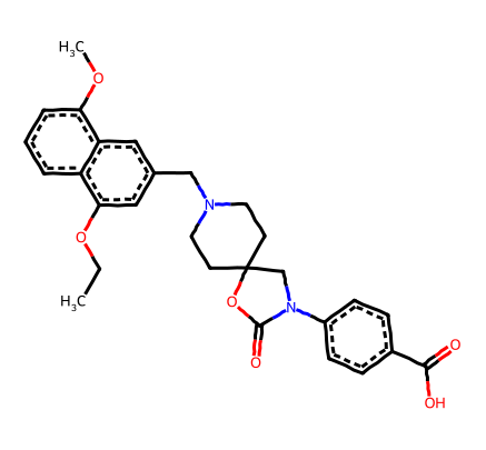 CCOc1cc(CN2CCC3(CC2)CN(c2ccc(C(=O)O)cc2)C(=O)O3)cc2c(OC)cccc12